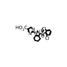 O=C(O)c1cnc(-n2nc(S(=O)(=O)c3c(Cl)cccc3Cl)c3c2CCCC3)nc1